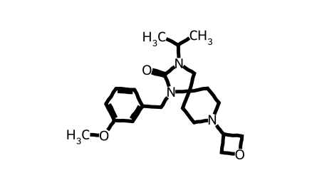 COc1cccc(CN2C(=O)N(C(C)C)CC23CCN(C2COC2)CC3)c1